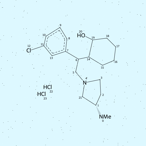 CN[C@H]1CCN(CC(c2cccc(Cl)c2)C2CCCCC2O)C1.Cl.Cl